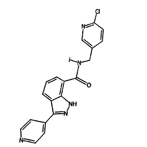 O=C(c1cccc2c(-c3ccncc3)n[nH]c12)N(I)Cc1ccc(Cl)nc1